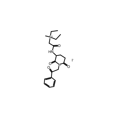 CC[N+](C)(CC)CC(=O)NC1CCC(=O)N(CC(=O)c2ccccc2)C1=O.[I-]